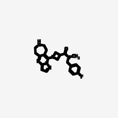 CN(Cc1ccc(F)cc1)C(=O)C1CN(c2c3c(nc4ccnn24)CCNCC3)C1